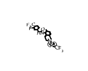 Cc1ccc2c(c1NC(=O)Cc1ccc(C(F)(F)F)c(F)c1)CCN(S(=O)(=O)CC(F)(F)F)C2